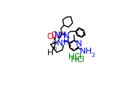 Cc1nc(N)ccc1C[N+]1(C(=O)[C@@H](CC2CCCCC2)NCc2ccccc2)CCC[C@@H]2C[C@@]21C(N)=O.Cl.Cl